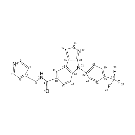 O=C(NCc1ccncc1)c1ccc2c(c1)c1csnc1n2-c1ccc(C(F)(F)F)cc1